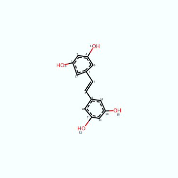 Oc1cc(O)cc(C=Cc2cc(O)cc(O)c2)c1